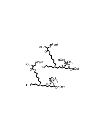 CCCCCCCCOC(CCCCCN(CCCCO)CCCCCCOC(=O)C(CCCCCCCC)SCCCCC)O[Si](C)(C)OCCCCCCCC.CCCCCCCCOC(CCCCCN(CCCCO)CCCCCCOC(=O)C(CCCCCCCC)SCCCCC)O[Si](C)(C)OCCCCCCCC